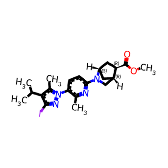 COC(=O)[C@@H]1C[C@@H]2C[C@H]1CN2c1ccc(-n2nc(I)c(C(C)C)c2C)c(C)n1